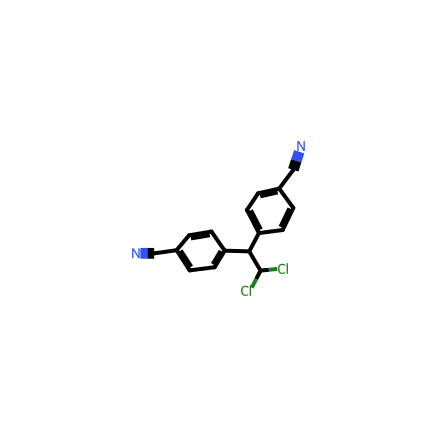 N#Cc1ccc(C(c2ccc(C#N)cc2)C(Cl)Cl)cc1